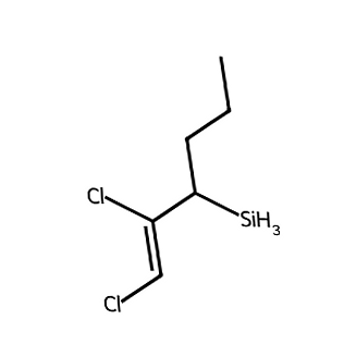 CCCC([SiH3])C(Cl)=CCl